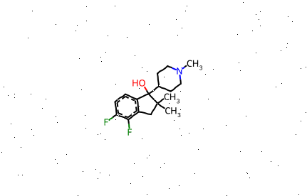 CN1CCC(C2(O)c3ccc(F)c(F)c3CC2(C)C)CC1